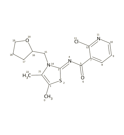 Cc1sc(=NC(=O)c2cccnc2Cl)n(CC2CCCO2)c1C